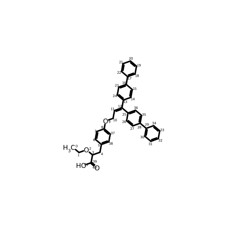 CCOC(Cc1ccc(OCC=C(c2ccc(-c3ccccc3)cc2)c2ccc(-c3ccccc3)cc2)cc1)C(=O)O